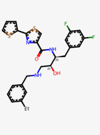 CCc1cccc(CNC[C@H](O)[C@H](Cc2cc(F)cc(F)c2)NC(=O)c2csc(-c3cccs3)n2)c1